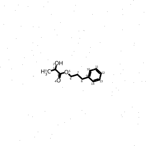 CC(O)C(=O)OCCCc1ccccc1